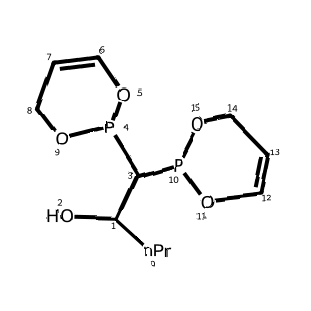 CCCC(O)[C](P1OC=CCO1)P1OC=CCO1